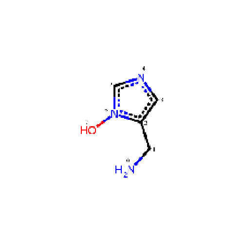 NCc1cncn1O